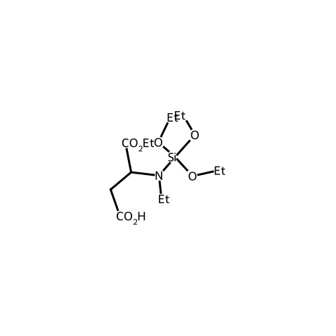 CCOC(=O)C(CC(=O)O)N(CC)[Si](OCC)(OCC)OCC